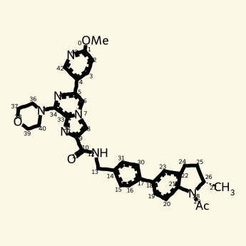 COc1ccc(-c2cn3cc(C(=O)NCc4ccc(-c5ccc6c(c5)CC[C@H](C)N6C(C)=O)cc4)nc3c(N3CCOCC3)n2)cn1